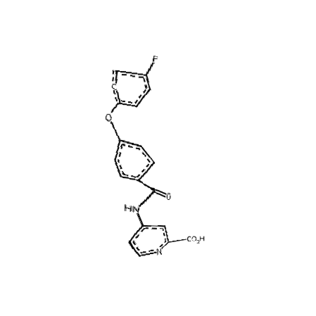 O=C(Nc1ccnc(C(=O)O)c1)c1ccc(Oc2ccc(F)cc2)cc1